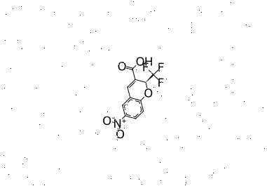 O=C(O)C1=Cc2cc([N+](=O)[O-])ccc2O[C@@H]1C(F)(F)F